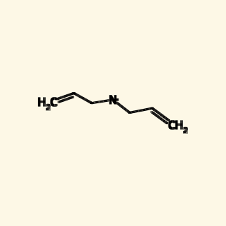 C=CC[N]CC=C